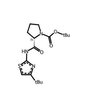 CC(C)(C)OC(=O)N1CCC[C@H]1C(=O)Nc1nc(C(C)(C)C)cs1